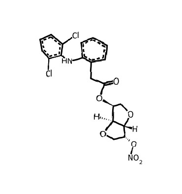 O=C(Cc1ccccc1Nc1c(Cl)cccc1Cl)O[C@H]1CO[C@H]2[C@H]1OC[C@H]2O[N+](=O)[O-]